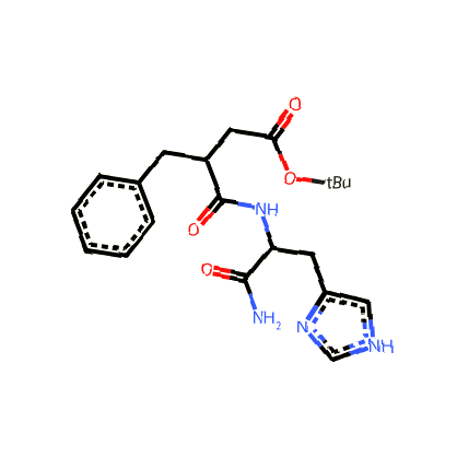 CC(C)(C)OC(=O)CC(Cc1ccccc1)C(=O)NC(Cc1c[nH]cn1)C(N)=O